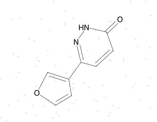 O=c1ccc(-c2ccoc2)n[nH]1